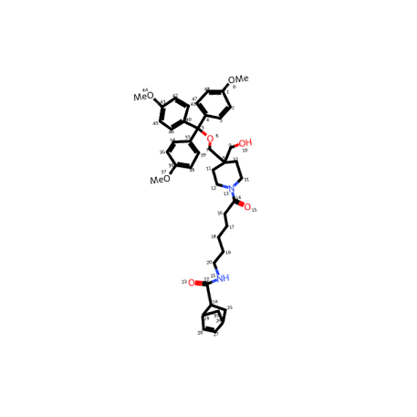 COc1ccc(C(OCC2(CO)CCN(C(=O)CCCCCNC(=O)C3CC4C=CC3C4)CC2)(c2ccc(OC)cc2)c2ccc(OC)cc2)cc1